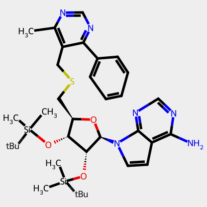 Cc1ncnc(-c2ccccc2)c1CSC[C@H]1O[C@@H](n2ccc3c(N)ncnc32)[C@H](O[Si](C)(C)C(C)(C)C)[C@@H]1O[Si](C)(C)C(C)(C)C